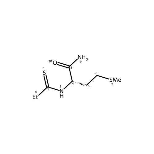 CCC(=S)N[C@@H](CCSC)C(N)=O